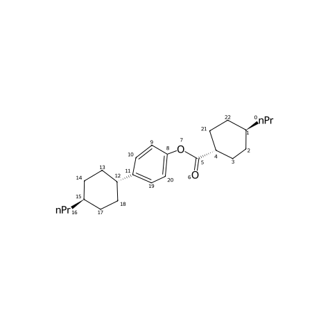 CCC[C@H]1CC[C@H](C(=O)Oc2ccc([C@H]3CC[C@H](CCC)CC3)cc2)CC1